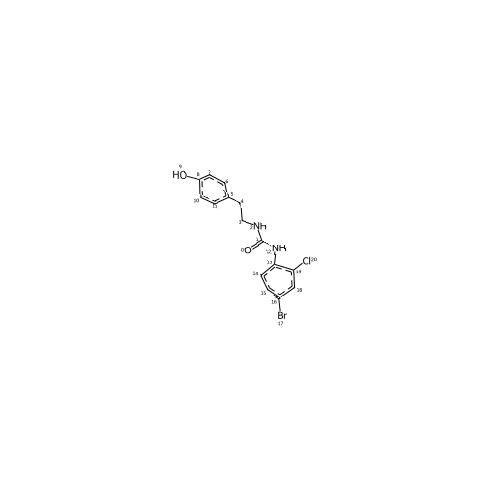 O=C(NCCc1ccc(O)cc1)Nc1ccc(Br)cc1Cl